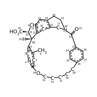 Cc1cc2ncc1[C@H]([C@H](C)C(=O)O)c1ccc3c(c1)CN(CC3)C(=O)c1ccc(cc1)CCCCCO2